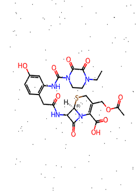 CCN1CCN(C(=O)Nc2cc(O)ccc2CC(=O)NC2C(=O)N3C(C(=O)O)=C(COC(C)=O)CS[C@H]23)C(=O)C1=O